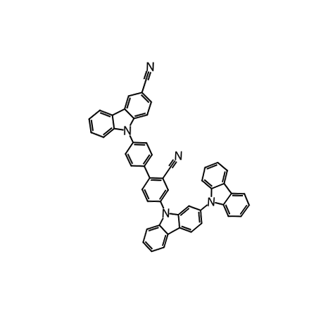 N#Cc1ccc2c(c1)c1ccccc1n2-c1ccc(-c2ccc(-n3c4ccccc4c4ccc(-n5c6ccccc6c6ccccc65)cc43)cc2C#N)cc1